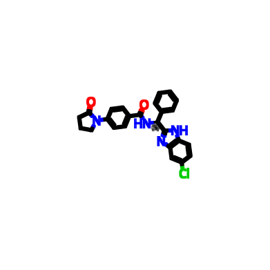 O=C(N[C@@H](c1ccccc1)c1nc2cc(Cl)ccc2[nH]1)c1ccc(N2CCCC2=O)cc1